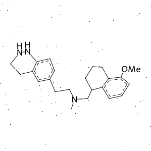 COc1cccc2c1CCCC2CN(C)CCc1ccc2c(c1)CCNN2